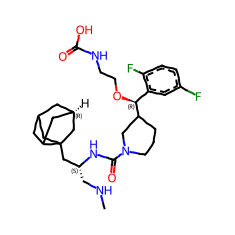 CNC[C@H](CC12CC3CC1C[C@@H](C3)C2)NC(=O)N1CCCC([C@@H](OCCNC(=O)O)c2cc(F)ccc2F)C1